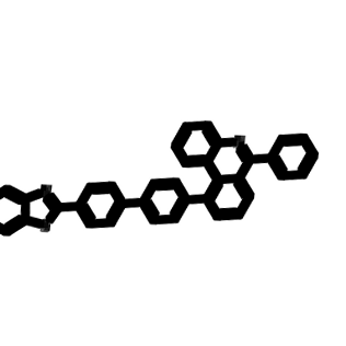 c1ccc(-c2nc3ccccc3c3c(-c4ccc(-c5ccc(-c6nc7ccccc7s6)cc5)cc4)cccc23)cc1